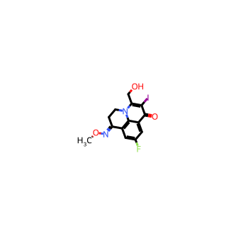 CON=C1CCn2c(CO)c(I)c(=O)c3cc(F)cc1c32